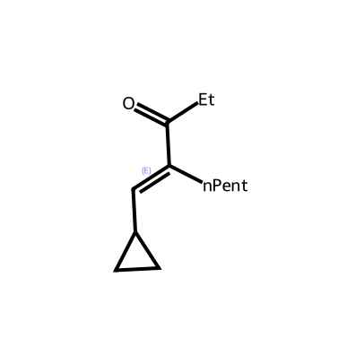 CCCCC/C(=C\C1CC1)C(=O)CC